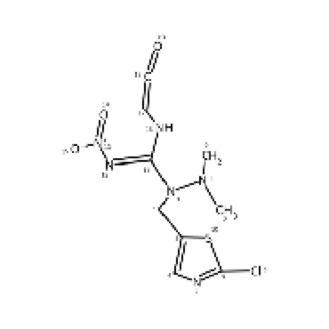 CN(C)N(Cc1cnc(Cl)s1)C(=N[N+](=O)[O-])NC=C=O